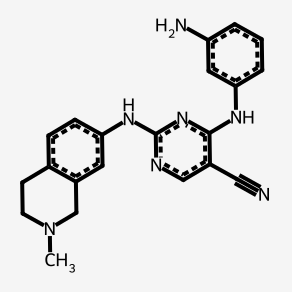 CN1CCc2ccc(Nc3ncc(C#N)c(Nc4cccc(N)c4)n3)cc2C1